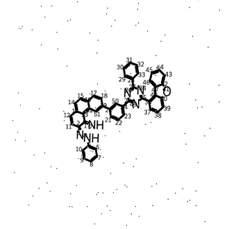 N=C1/C(=N\Nc2ccccc2)C=Cc2ccc3ccc(-c4cccc(-c5nc(-c6ccccc6)nc(-c6cccc7oc8ccccc8c67)n5)c4)cc3c21